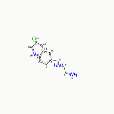 N=CCNCc1ccc2ncc(Cl)cc2c1